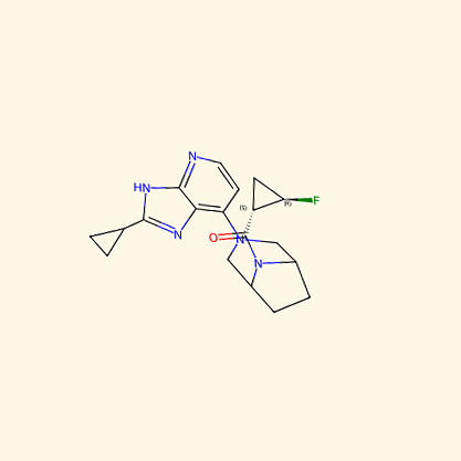 O=C([C@@H]1C[C@H]1F)N1C2CCC1CN(c1ccnc3[nH]c(C4CC4)nc13)C2